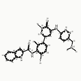 Cc1c(-c2cc(Nc3ccc(CN(C)C)nn3)c(=O)n(C)n2)ccc(F)c1NC(=O)c1cc2ccccc2s1